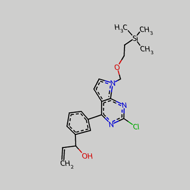 C=CC(O)c1cccc(-c2nc(Cl)nc3c2ccn3COCC[Si](C)(C)C)c1